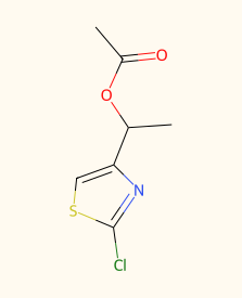 CC(=O)OC(C)c1csc(Cl)n1